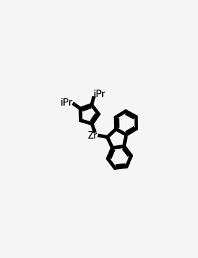 CC(C)C1=C(C(C)C)C[C]([Zr][CH]2c3ccccc3-c3ccccc32)=C1